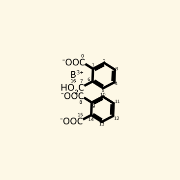 O=C([O-])c1ccccc1C(=O)O.O=C([O-])c1ccccc1C(=O)[O-].[B+3]